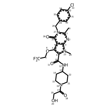 Cc1nc2c(c(OCC(F)(F)F)c(C(=O)NC3CCN(C(=O)CO)CC3)n2C)c(=O)n1Cc1ccc(Cl)cc1